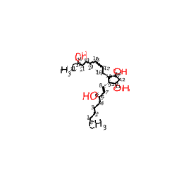 CCCCC[C@H](O)/C=C/[C@H]1[C@H](O)CC(O)[C@@H]1C/C=C\CCCC(C)O